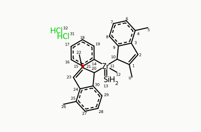 CC1=Cc2c(C)cccc2[CH]1[Zr]([CH3])(=[SiH2])([c]1ccccc1)[CH]1C(C)=Cc2c(C)cccc21.Cl.Cl